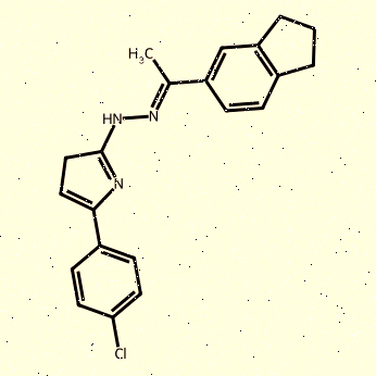 C/C(=N\NC1=NC(c2ccc(Cl)cc2)=CC1)c1ccc2c(c1)CCC2